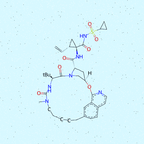 C=C[C@@H]1C[C@]1(NC(=O)[C@@H]1C[C@@H]2CN1C(=O)[C@H](C(C)(C)C)NC(=O)N(C)CCCCCc1ccc3ccnc(c3c1)O2)C(=O)NS(=O)(=O)C1CC1